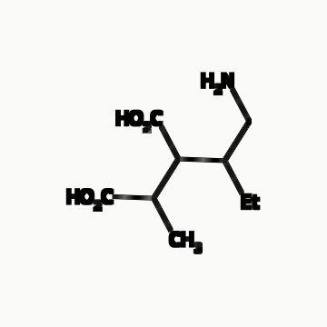 CCC(CN)C(C(=O)O)C(C)C(=O)O